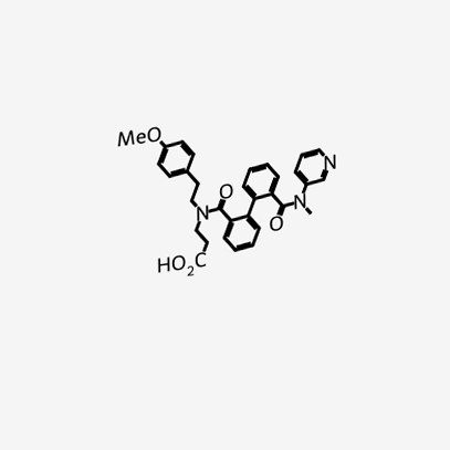 COc1ccc(CCN(CCC(=O)O)C(=O)c2ccccc2-c2ccccc2C(=O)N(C)c2cccnc2)cc1